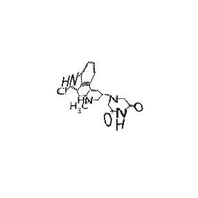 CN1C[C@H](CN2CC(=O)NC(=O)C2)C=C2c3cccc4[nH]c(Cl)c(c34)C[C@H]21